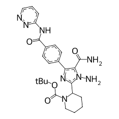 CC(C)(C)OC(=O)N1CCCCC1c1nc(-c2ccc(C(=O)Nc3cccnn3)cc2)c(C(N)=O)n1N